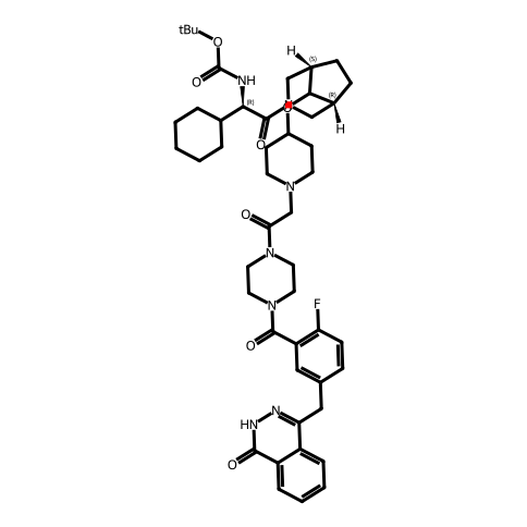 CC(C)(C)OC(=O)N[C@@H](C(=O)N1C[C@H]2CC[C@@H](C1)C2OC1CCN(CC(=O)N2CCN(C(=O)c3cc(Cc4n[nH]c(=O)c5ccccc45)ccc3F)CC2)CC1)C1CCCCC1